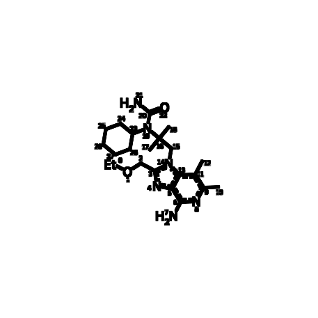 CCOCc1nc2c(N)nc(C)c(C)c2n1CC(C)(C)N(C(N)=O)C1CCCCC1